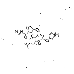 CC(C)CC[C@H](NC(=O)Oc1cc[nH]c1)C(=O)N(C)C1C(=O)COC1C(N)=O